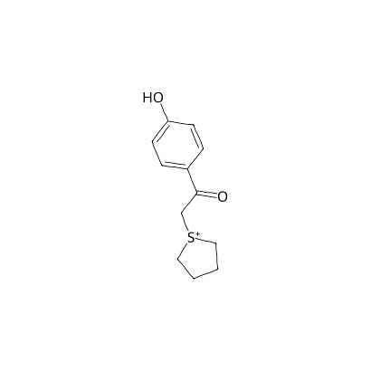 O=C(C[S+]1CCCC1)c1ccc(O)cc1